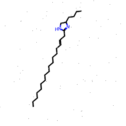 CCCCCCCCCCCCCCC=CCC1=NC(CCCC)CN1